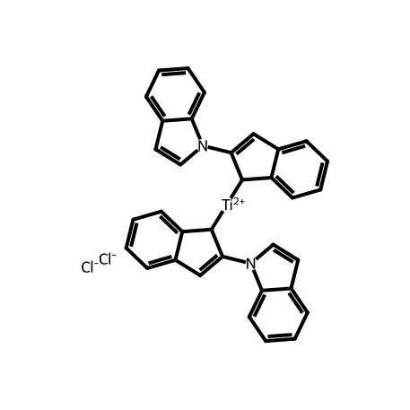 C1=C(n2ccc3ccccc32)[CH]([Ti+2][CH]2C(n3ccc4ccccc43)=Cc3ccccc32)c2ccccc21.[Cl-].[Cl-]